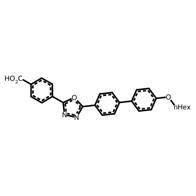 CCCCCCOc1ccc(-c2ccc(-c3nnc(-c4ccc(C(=O)O)cc4)o3)cc2)cc1